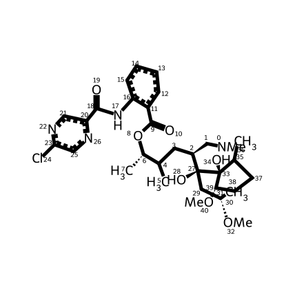 CNC[C@H](CC(C)[C@H](C)OC(=O)c1ccccc1NC(=O)c1cnc(Cl)cn1)[C@@](O)(C[C@H](C)OC)[C@]1(O)C(C)CC[C@@H]1OC